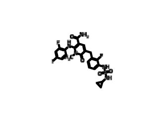 Cn1c(Nc2ccc(I)cc2F)c(C(N)=O)cc(Cc2cccc(NS(=O)(=O)NC3CC3)c2F)c1=O